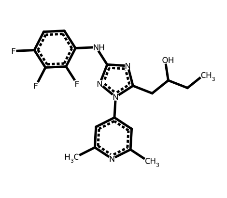 CCC(O)Cc1nc(Nc2ccc(F)c(F)c2F)nn1-c1cc(C)nc(C)c1